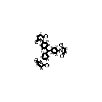 O=C1C=CC(=O)N1c1ccc(C(c2ccc(N3C(=O)C=CC3=O)cc2)c2ccc(N3C(=O)C=CC3=O)cc2)cc1